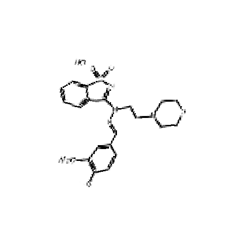 COc1cc(C=NN(CCN2CCOCC2)C2=NS(=O)(=O)c3ccccc32)ccc1O.Cl